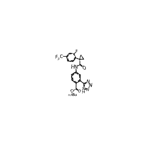 CC[C@H](C)OC(=O)c1ccc(NC(=O)C2(c3ccc(C(F)(F)F)cc3F)CC2)cc1-c1nnn[nH]1